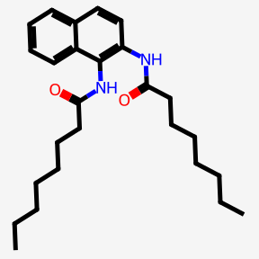 CCCCCCCC(=O)Nc1ccc2ccccc2c1NC(=O)CCCCCCC